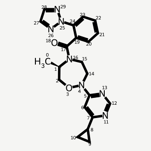 C[C@@H]1CON(c2cc(C3CC3)ncn2)CCN1C(=O)c1ccccc1-n1nccn1